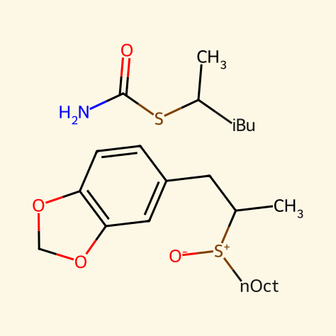 CCC(C)C(C)SC(N)=O.CCCCCCCC[S+]([O-])C(C)Cc1ccc2c(c1)OCO2